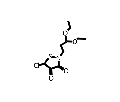 CCOC(CCN1SC(Cl)C(=O)C1=O)OCC